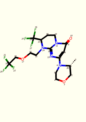 C[C@@H]1COCCN1c1cc(=O)n2c(n1)N(CCOCC(F)(F)F)C(C(F)(F)F)CC2